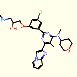 CNCC(O)COc1cc(Cl)cc(-c2nc(-c3cn4ccccc4n3)c(C)c(N(C)C3CCOCC3)n2)c1